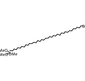 CO[Si](CCCCCCCCCCCCCCCCCCCCCCCCCCCCCCCCCCCCCBr)(OC)OC